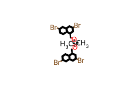 C[Si](C)(OCc1cc(Br)cc2cc(Br)ccc12)OCc1cc(Br)cc2cc(Br)ccc12